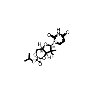 CC(C)OP1(=O)OC[C@H]2O[C@@H](n3ccc(=O)[nH]c3=O)C(C)(F)[C@H]2O1